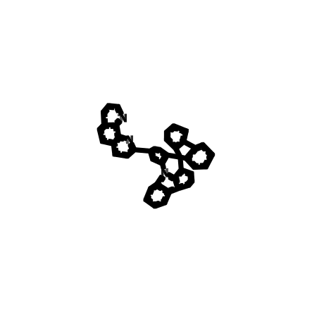 c1ccc2c(c1)-c1ccccc1C21c2ccc(-c3ccc4ccc5cccnc5c4n3)cc2-n2c3ccccc3c3cccc1c32